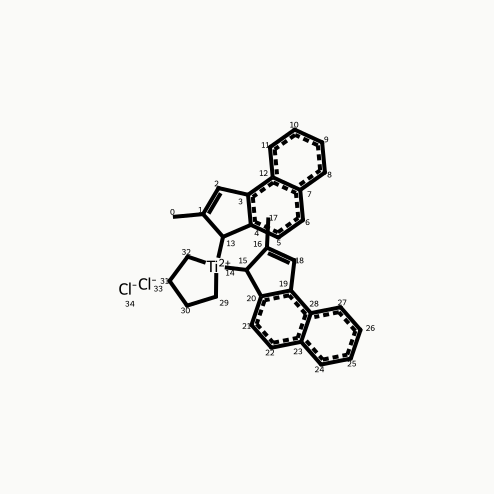 CC1=Cc2c(ccc3ccccc23)[CH]1[Ti+2]1([CH]2C(C)=Cc3c2ccc2ccccc32)[CH2]CC[CH2]1.[Cl-].[Cl-]